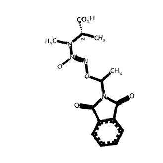 CC(ON=[N+]([O-])N(C)[C@@H](C)C(=O)O)N1C(=O)c2ccccc2C1=O